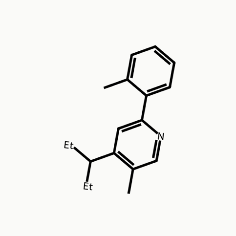 CCC(CC)c1cc(-c2ccccc2C)ncc1C